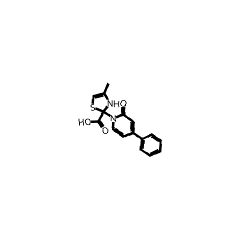 CC1=CSC(C(=O)O)(n2ccc(-c3ccccc3)cc2=O)N1